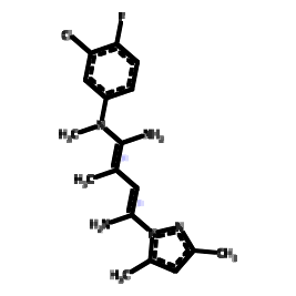 CC(/C=C(\N)n1nc(C)cc1C)=C(/N)N(C)c1ccc(F)c(Cl)c1